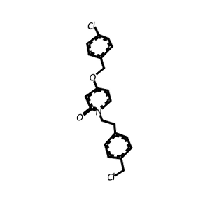 O=c1cc(OCc2ccc(Cl)cc2)ccn1CCc1ccc(CCl)cc1